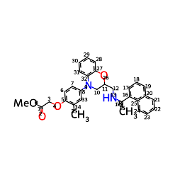 COC(=O)COc1ccc(N2CC(CN[C@H](C)c3cccc4ccccc34)Oc3ccccc32)cc1C